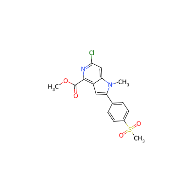 COC(=O)c1nc(Cl)cc2c1cc(-c1ccc(S(C)(=O)=O)cc1)n2C